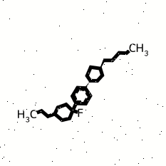 CCCCC[C@H]1CC[C@H](c2ccc(C3(F)CCC(CCC)CC3)cc2)CC1